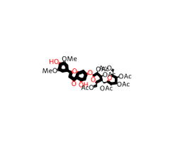 COc1cc(-c2cc(=O)c3c(O)cc(O[C@@H]4O[C@H](COC(C)=O)[C@@H](C[C@H]5O[C@H](COC(C)=O)[C@@H](OC(C)=O)[C@H](OC(C)=O)[C@H]5OC(C)=O)[C@H](OC(C)=O)[C@H]4OC(C)=O)cc3o2)cc(OC)c1O